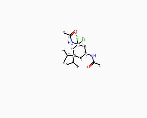 CC(=O)[NH][Ti]1[Ti][Ti]([CH](C)C)([CH](C)C)[Ti][Ti]([Cl])([Cl])([NH]C(C)=O)[Ti]1